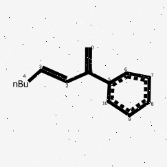 C=C(C=CCCCC)c1ccccc1